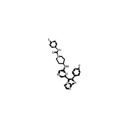 O=C(Nc1ccc(F)cc1)N1CCC(Nc2cncc(-c3c(-c4ccc(F)cc4)nc4sccn34)n2)CC1